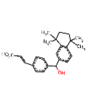 CC1(C)CCC(C)(C)c2cc(C(O)c3ccc(C=CC(=O)O)cc3)ccc21